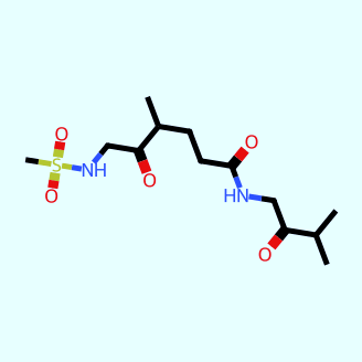 CC(C)C(=O)CNC(=O)CCC(C)C(=O)CNS(C)(=O)=O